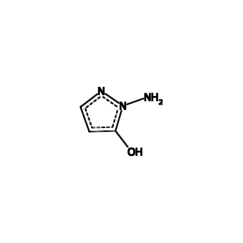 Nn1nccc1O